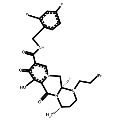 CC(C)CCN1CC[C@H](C)N2C(=O)c3c(O)c(=O)c(C(=O)NCc4ccc(F)cc4F)cn3C[C@@H]12